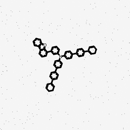 C1=CC(c2ccc(-c3ccc(N(c4ccc(-c5ccc(C6=CCCC=C6)cc5)cc4)c4cccc(-c5cccc6c5oc5ccccc56)c4)cc3)cc2)=CCC1